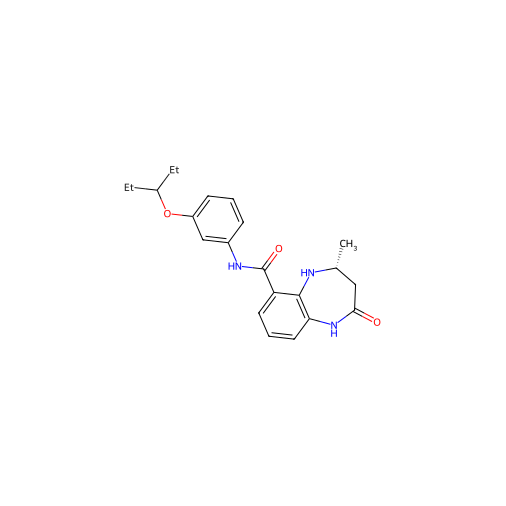 CCC(CC)Oc1cccc(NC(=O)c2cccc3c2N[C@H](C)CC(=O)N3)c1